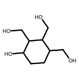 OCC1CCC(O)C(CO)C1CO